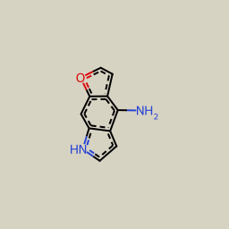 Nc1c2cc[nH]c2cc2occc12